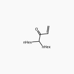 C=CC(=O)C(CCCCCC)CCCCCC